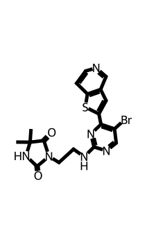 CC1(C)NC(=O)N(CCNc2ncc(Br)c(-c3cc4cnccc4s3)n2)C1=O